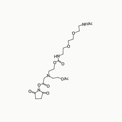 CC(=O)NCCOCCOCCNC(=O)OCCN(CCOC(C)=O)CC(=O)ON1C(=O)CCC1=O